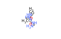 Cc1cccc2c1NC(C(=O)NC(C1CC1)C1N=CC(C(=O)N[C@@H]3CC[C@@H]3N)CC1C)C2